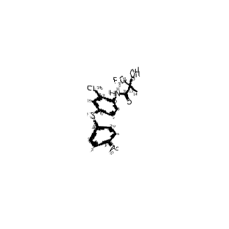 CC(=O)c1ccc(Sc2ccc(NC(=O)[C@@](C)(O)C(F)(F)F)c(Cl)c2)cc1